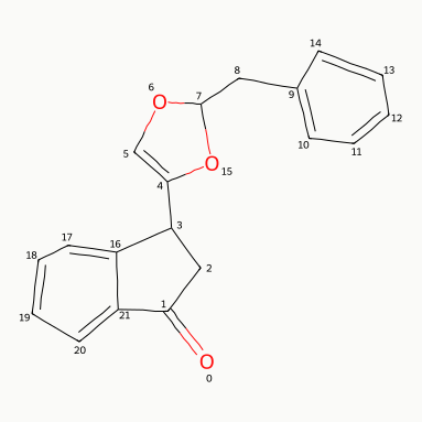 O=C1CC(C2=COC(Cc3ccccc3)O2)c2ccccc21